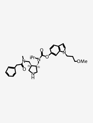 COCCCn1ccc2ccc(OC(=O)N(C[C@@H]3CNC[C@H]3CN(C)C(=O)Cc3ccccc3)C(C)C)cc21